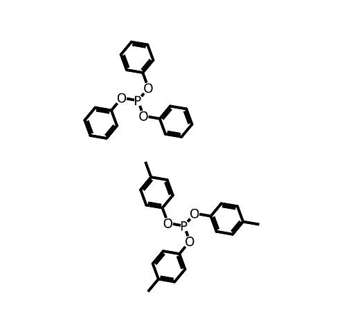 Cc1ccc(OP(Oc2ccc(C)cc2)Oc2ccc(C)cc2)cc1.c1ccc(OP(Oc2ccccc2)Oc2ccccc2)cc1